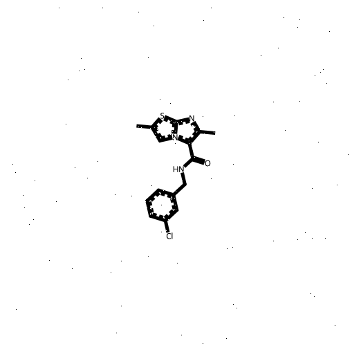 Cc1cn2c(C(=O)NCc3cccc(Cl)c3)c(C)nc2s1